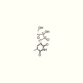 Cc1cn([C@@H]2O[C@H](CO)[C@@H](O)[C@H]2Cl)c(=O)[nH]c1=O